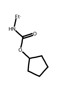 C[CH]NC(=O)OC1CCCC1